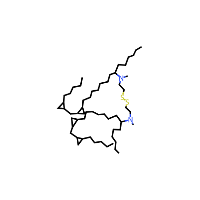 CCCCCCC(CCCCCCCC1CC1CC1CC1CCCCC)N(C)CCSSCCN(C)C(CCCCCC)CCCCCCCC1CC1CC1CC1CCCCC